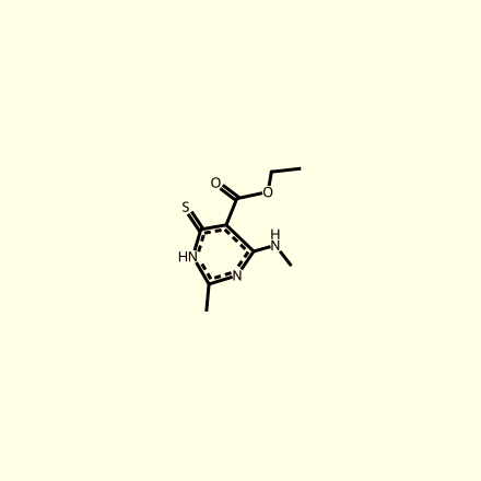 CCOC(=O)c1c(NC)nc(C)[nH]c1=S